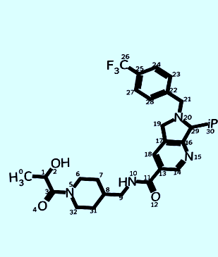 CC(O)C(=O)N1CCC(CNC(=O)c2cnc3c(c2)CN(Cc2ccc(C(F)(F)F)cc2)C3C(C)C)CC1